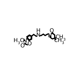 CN1C(=O)COc2cc(CCNCCCCN3CCC(C)(C)CC3=O)ccc21